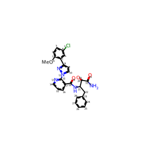 COc1ccc(Cl)cc1-c1ccn(-c2ncccc2C(=O)NC(Cc2ccccc2)C(=O)C(N)=O)n1